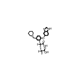 O=C(O)C(F)(F)F.O=C(O)C(F)(F)F.c1nc2cc(Oc3ccc(CN4CCCCC4)cc3)ccc2[nH]1